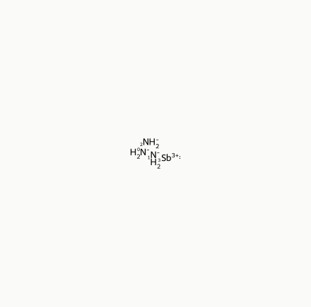 [NH2-].[NH2-].[NH2-].[Sb+3]